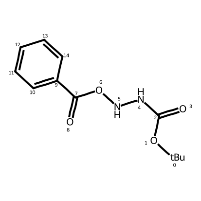 CC(C)(C)OC(=O)NNOC(=O)c1ccccc1